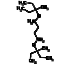 CCC(C)(CC)O[SiH2]CC[SiH2]OC(C)(CC)CC